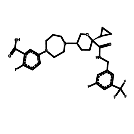 O=C(O)c1cc(N2CCCN(C3CC[C@@](C(=O)NCc4cc(F)cc(C(F)(F)F)c4)(C4CC4)OC3)CC2)ccc1F